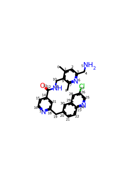 Cc1cc(CN)nc(C)c1CNC(=O)c1ccnc(Cc2ccc3ncc(Cl)cc3c2)c1